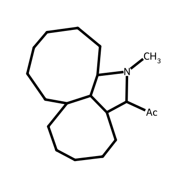 CC(=O)C1C2CCCCCC3CCCCCCC(C32)N1C